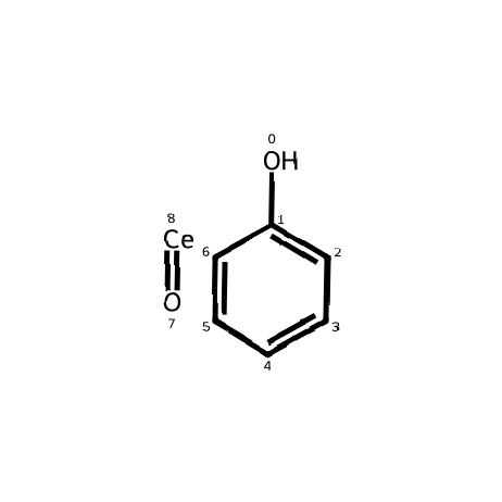 Oc1ccccc1.[O]=[Ce]